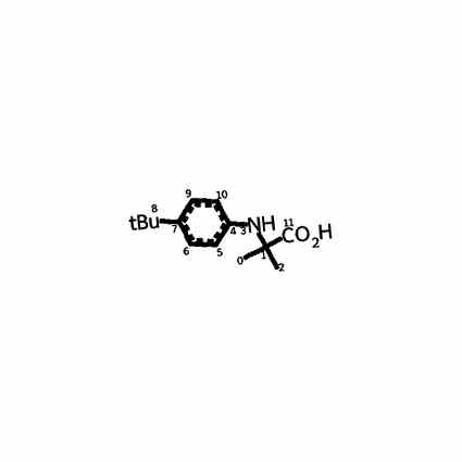 CC(C)(Nc1ccc(C(C)(C)C)cc1)C(=O)O